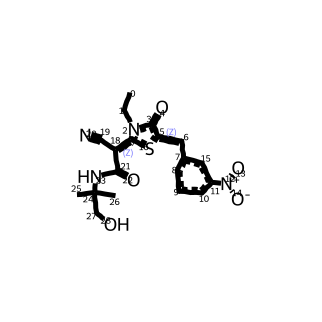 CCn1c(=O)/c(=C/c2cccc([N+](=O)[O-])c2)s/c1=C(/C#N)C(=O)NC(C)(C)CO